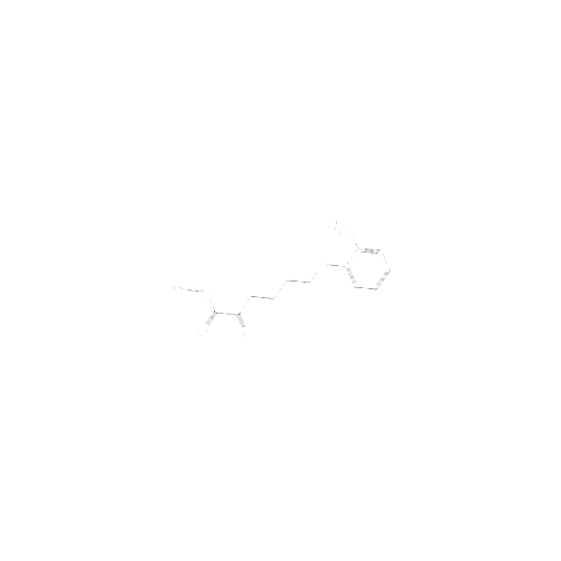 Cc1ccccc1OCCCCC(=O)C(=O)OC(C)C